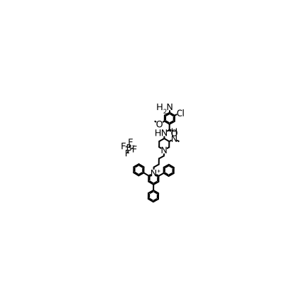 CNC1CN(CCCC[n+]2c(-c3ccccc3)cc(-c3ccccc3)cc2-c2ccccc2)CCC1NC(=O)c1cc(Cl)c(N)cc1OC.F[B-](F)(F)F